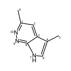 Cc1cc2c(C)c[nH]c2nn1